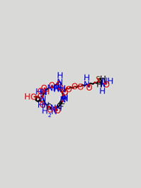 NC(=O)[C@@H]1CCCCn2cc(nn2)C[C@H](NC(=O)COCCOCCOCCNC(=O)CCCCC2SC[C@H]3NC(=O)N[C@@H]23)C(=O)N[C@@H](Cc2c[nH]cn2)C(=O)NCC(=O)N[C@@H](CO)C(=O)N[C@@H](Cc2ccc(O)cc2)C(=O)NCC(=O)N1